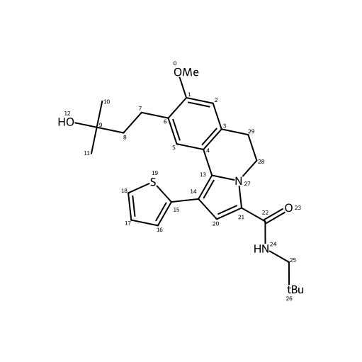 COc1cc2c(cc1CCC(C)(C)O)-c1c(-c3cccs3)cc(C(=O)NCC(C)(C)C)n1CC2